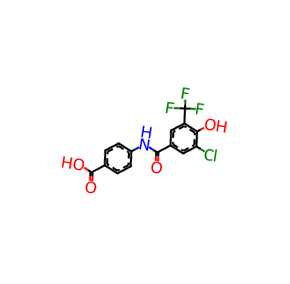 O=C(O)c1ccc(NC(=O)c2cc(Cl)c(O)c(C(F)(F)F)c2)cc1